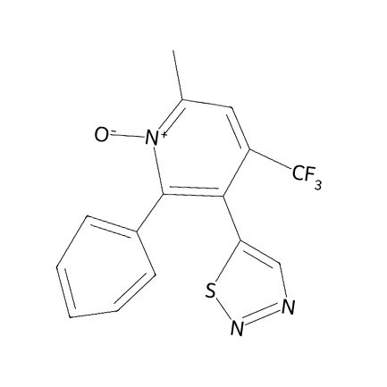 Cc1cc(C(F)(F)F)c(-c2cnns2)c(-c2ccccc2)[n+]1[O-]